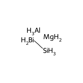 [AlH3].[MgH2].[SiH3][BiH2]